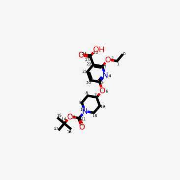 CCOc1nc(OC2CCN(C(=O)OC(C)(C)C)CC2)ccc1C(=O)O